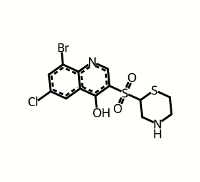 O=S(=O)(c1cnc2c(Br)cc(Cl)cc2c1O)C1CNCCS1